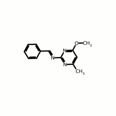 COc1cc(C)nc(/N=C/c2ccccc2)n1